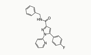 O=C(NCc1ccccc1)c1cc(-c2ccc(F)cc2)n(-c2ccccn2)n1